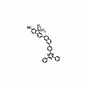 CC1(C)c2cc(C#N)ccc2-c2ccc(-c3ccc4ccc(-c5ccc(-c6nc(-c7ccccc7)nc(-c7ccccc7)n6)cc5)cc4c3)cc21